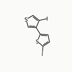 Ic1ccc(-c2cscc2I)s1